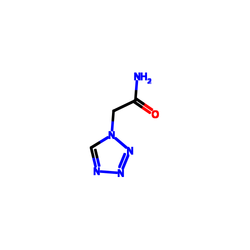 NC(=O)Cn1cnnn1